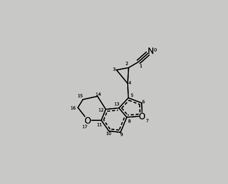 N#CC1CC1c1coc2ccc3c(c12)CCCO3